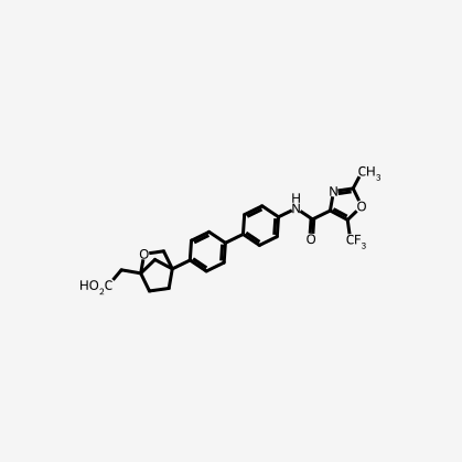 Cc1nc(C(=O)Nc2ccc(-c3ccc(C45CCC(CC(=O)O)(C4)OC5)cc3)cc2)c(C(F)(F)F)o1